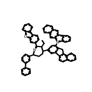 CCC1C(c2ccc3c(c2)oc2ccccc23)=NC(c2cccc(-c3ccccc3)c2)CCC1c1cc2c(c(-n3c4ccccc4c4cc5ccccc5cc43)c1)Cc1c-2ccc2ccccc12